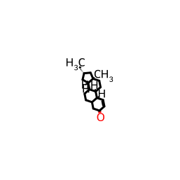 CC[C@H]1C[C@H]2[C@@H]3CCC4CC(=O)C=C[C@@H]4[C@H]3CC[C@]2(C)C1